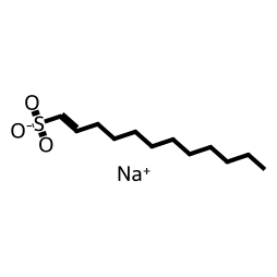 CCCCCCCCCC/C=C/S(=O)(=O)[O-].[Na+]